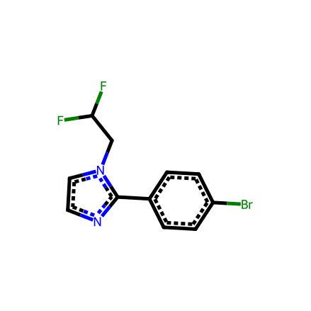 FC(F)Cn1ccnc1-c1ccc(Br)cc1